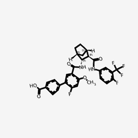 COc1cc(F)c(-c2ccc(C(=O)O)cc2)cc1C(=O)N[C@@H]1[C@@H]2CC[C@@H](C2)[C@H]1C(=O)Nc1ccc(F)c(C(F)(F)F)c1